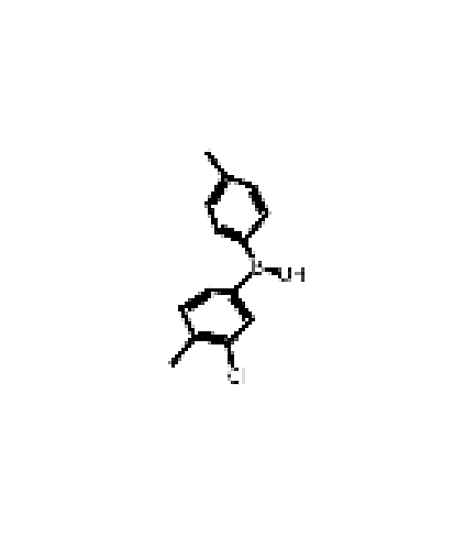 Cc1ccc(B(O)c2ccc(C)c(Cl)c2)cc1